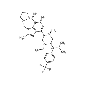 CC[C@@H]1CN(c2nc(=N)n(C=N)c3c2nc(C)n3C[C@@H]2CCCO2)[C@@H](C)CN1[C@@H](c1ccc(C(F)(F)F)cc1)C(C)C